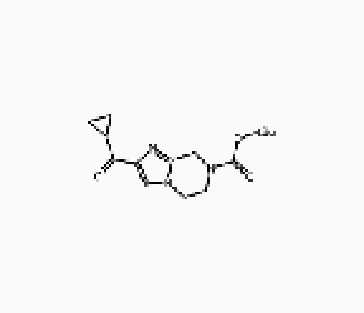 CC(C)(C)OC(=O)N1CCn2cc(C(=O)C3CC3)nc2C1